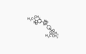 CC(C)c1noc2cc(-c3noc(C4CCN(C(=O)OC(C)(C)C)CC4)n3)ccc12